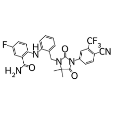 CC1(C)C(=O)N(c2ccc(C#N)c(C(F)(F)F)c2)C(=O)N1Cc1ccccc1Nc1ccc(F)cc1C(N)=O